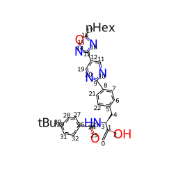 C=C(O)[C@H](Cc1ccc(-c2ncc(-c3noc(CCCCCC)n3)cn2)cc1)NC(=O)c1ccc(C(C)(C)C)cc1